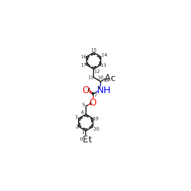 CCc1ccc(COC(=O)NC(Cc2ccccc2)C(C)=O)cc1